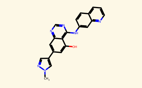 Cn1cc(-c2cc(O)c3c(Nc4ccc5cccnc5c4)ncnc3c2)cn1